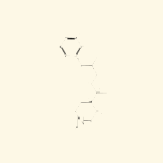 CC(CCC(C)C1CCN(C)CC1)Cc1ccccc1